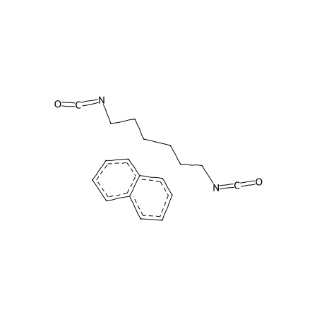 O=C=NCCCCCCN=C=O.c1ccc2ccccc2c1